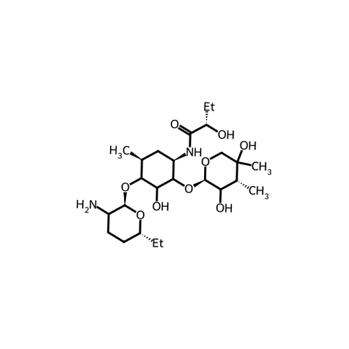 CC[C@@H]1CCC(N)[C@@H](OC2C(O)C(O[C@H]3OCC(C)(O)[C@H](C)C3O)[C@H](NC(=O)[C@@H](O)CC)C[C@@H]2C)O1